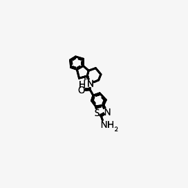 Nc1nc2ccc(C(=O)N3CCCC4c5ccccc5C[C@@H]43)cc2s1